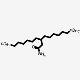 CCCCCCCCCCCCCCCCC(CCCCCCCCCCCCCCCC)CC(N)=O